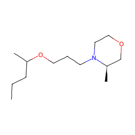 CCCC(C)OCCCN1CCOC[C@H]1C